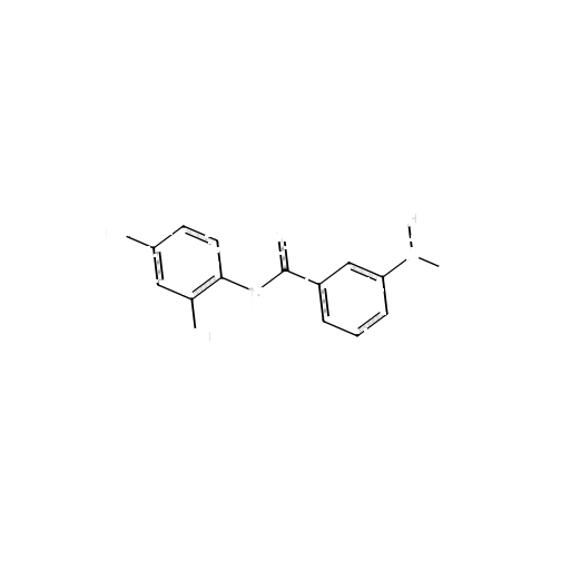 Cc1ccc(NC(=O)c2cccc(B(O)O)c2)c(C)c1